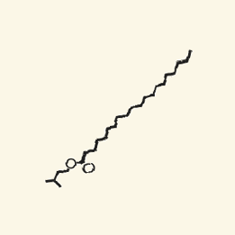 CCCCCCCCCCCCCCCCCCCC(=O)OCCC(C)C